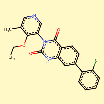 Cc1cncc(-n2c(=O)[nH]c3cc(-c4ccccc4Cl)ccc3c2=O)c1OCC(F)(F)F